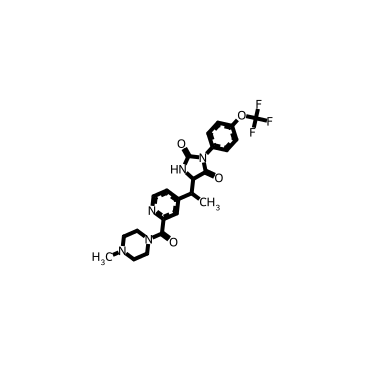 CC(c1ccnc(C(=O)N2CCN(C)CC2)c1)C1NC(=O)N(c2ccc(OC(F)(F)F)cc2)C1=O